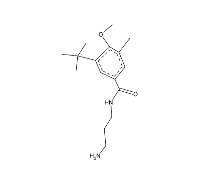 COc1c(C)cc(C(=O)NCCCN)cc1C(C)(C)C